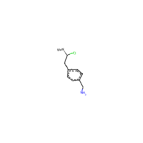 CNC(Cl)Cc1ccc(CN)cc1